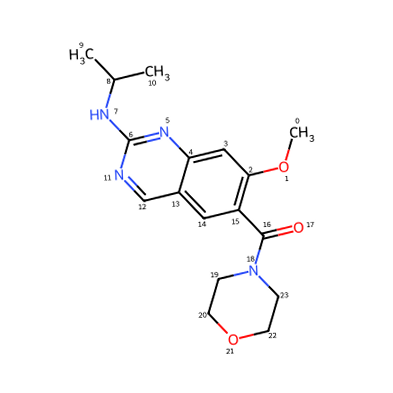 COc1cc2nc(NC(C)C)ncc2cc1C(=O)N1CCOCC1